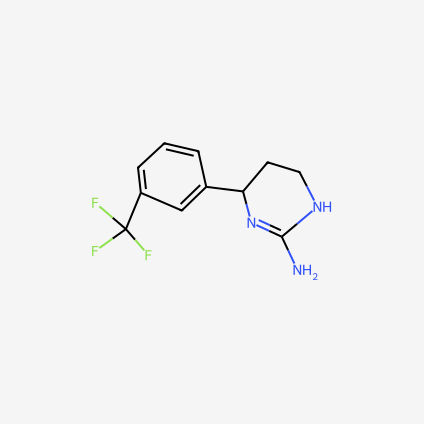 NC1=NC(c2cccc(C(F)(F)F)c2)CCN1